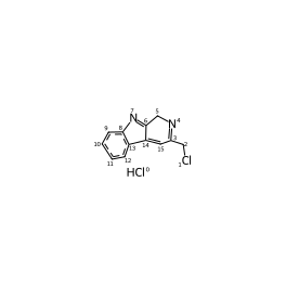 Cl.ClCC1=NCC2=Nc3ccccc3C2=C1